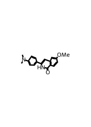 COc1ccc2c(=O)[nH]c(-c3ccc(N(C)C)cc3)cc2c1